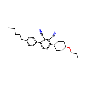 CCCCCc1ccc(-c2ccc([C@H]3CC[C@H](OCCC)CC3)c(C#N)c2C#N)cc1